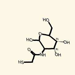 O=C(CS)NC1C(O)OC(CO)[C@H](O)[C@@H]1O